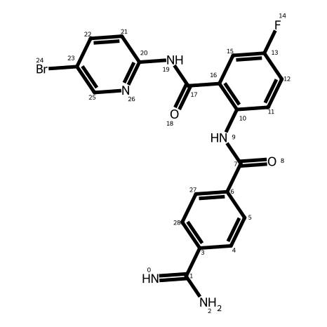 N=C(N)c1ccc(C(=O)Nc2ccc(F)cc2C(=O)Nc2ccc(Br)cn2)cc1